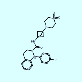 O=C(NC12CC(N3CCS(=O)(=O)CC3)(C1)C2)N1CCc2ccccc2[C@@H]1c1ccc(F)cc1